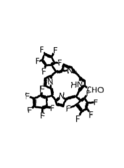 O=Cc1cc2[nH]c1C(c1c(F)c(F)c(F)c(F)c1F)=C1C=CC(=N1)C(c1c(F)c(F)c(F)c(F)c1F)=C1C=CC(=N1)C(c1c(F)c(F)c(F)c(F)c1F)=C1C=CC2=N1